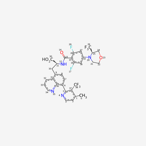 Cc1ccnc(-c2ccc(C[C@H](NC(=O)c3c(F)cc(N4CCOC[C@@H]4C(F)(F)F)cc3F)C(=O)O)c3cccnc23)c1C(F)(F)F